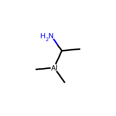 C[CH](N)[Al]([CH3])[CH3]